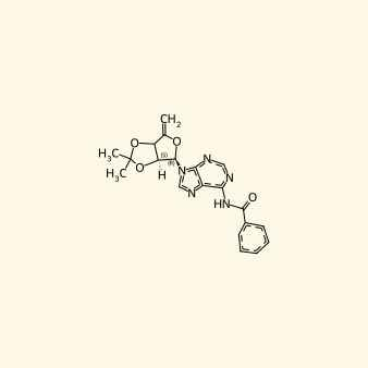 C=C1O[C@@H](n2cnc3c(NC(=O)c4ccccc4)ncnc32)[C@H]2OC(C)(C)OC12